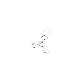 c1cc(N2CCOCC2)ncc1-c1nc(N2CCOCC2)nc(N2CCOCC2)n1